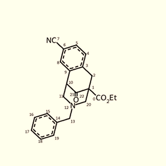 CCOC(=O)C12Cc3ccc(C#N)cc3C(CN(Cc3ccccc3)C1)C2=O